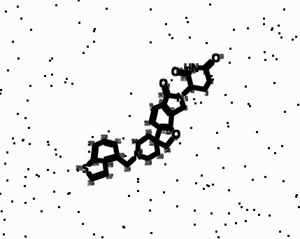 O=C1CCC(N2Cc3c(ccc4c3OCC43CCN(Cc4cccc5sccc45)CC3)C2=O)C(=O)N1